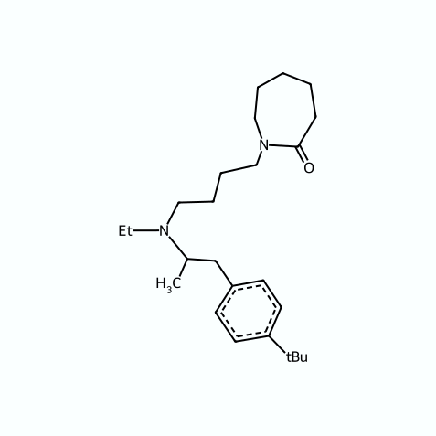 CCN(CCCCN1CCCCCC1=O)C(C)Cc1ccc(C(C)(C)C)cc1